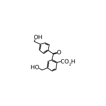 O=C(O)c1ccc(CO)cc1C(=O)c1ccc(CO)cc1